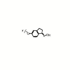 ON=C1CCc2cc(OC(F)(F)F)ccc21